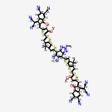 CCn1nc2c(-c3cc4c(s3)-c3sc(-c5sc(/C=C6\C(=O)c7cc(C#N)c(C#N)cc7C6=C(C#N)C#N)cc5OC)cc3C4(C)C)c3c(c(-c4cc5c(s4)-c4sc(-c6sc(/C=C7\C(=O)c8cc(C#N)c(C#N)cc8C7=C(C#N)C#N)cc6OC)cc4C5(C)C)c2n1)N=S=N3